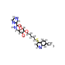 CN(Cc1cc(=O)c(OCCCCCSc2ccnc3cc(C(F)(F)F)ccc23)co1)C(=O)c1cnccn1